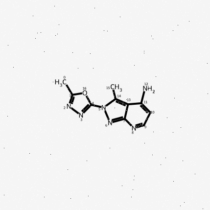 Cc1nnc(-n2nc3nccc(N)c3c2C)o1